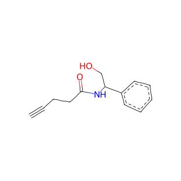 C#CCCC(=O)NC(CO)c1ccccc1